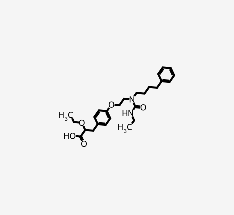 CCNC(=O)N(CCCCc1ccccc1)CCOc1ccc(CC(OCC)C(=O)O)cc1